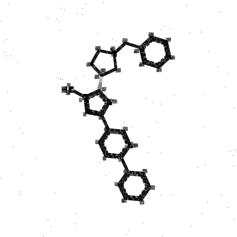 Cn1cc(-c2ccc(-c3ccccc3)nc2)nc1[C@@H]1CCN(Cc2ccccc2)C1